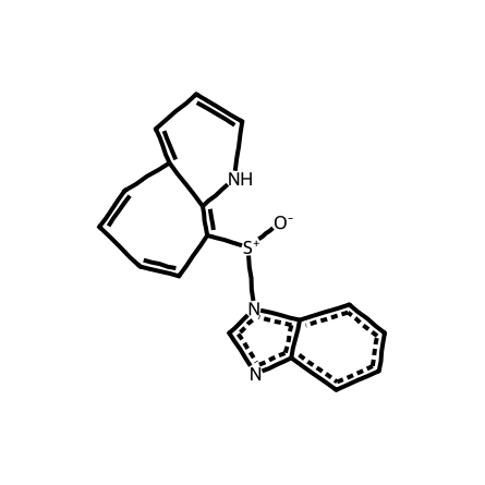 [O-][S+](C1=C2NC=CC=C2C=CC=C1)n1cnc2ccccc21